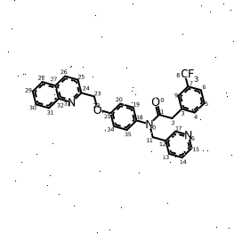 O=C(Cc1cccc(C(F)(F)F)c1)N(Cc1cccnc1)c1ccc(OCc2ccc3ccccc3n2)cc1